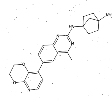 Cc1nc(NC23CCC(N)(CC2)C3)nc2ccc(-c3ccnc4c3OCCO4)cc12